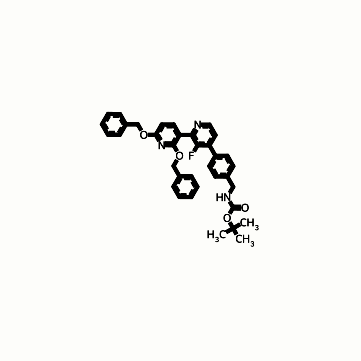 CC(C)(C)OC(=O)NCc1ccc(-c2ccnc(-c3ccc(OCc4ccccc4)nc3OCc3ccccc3)c2F)cc1